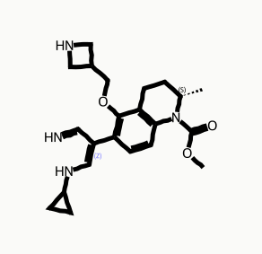 COC(=O)N1c2ccc(/C(C=N)=C/NC3CC3)c(OCC3CNC3)c2CC[C@@H]1C